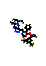 CC(C)N(Cc1[nH]nnc1CN1CCO[C@H](O[C@H](C)c2cc(C(F)(F)F)cc(C(F)(F)F)c2)[C@@H]1c1ccccc1)C(C)C